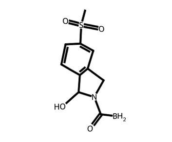 BC(=O)N1Cc2cc(S(C)(=O)=O)ccc2C1O